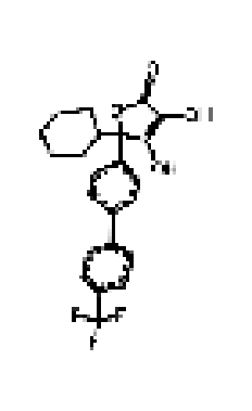 O=C1OC(c2ccc(-c3ccc(C(F)(F)F)cc3)cc2)(C2CCCCC2)C(O)=C1O